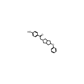 O=C(CN1CC2CC(Oc3ccccc3)CC2C1)c1ccc(O)cc1